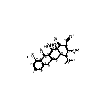 CN(C)C1C(O)=C(C#N)C(=O)C2(O)C(O)=C3C(=O)c4c(O)cccc4CC3CC12